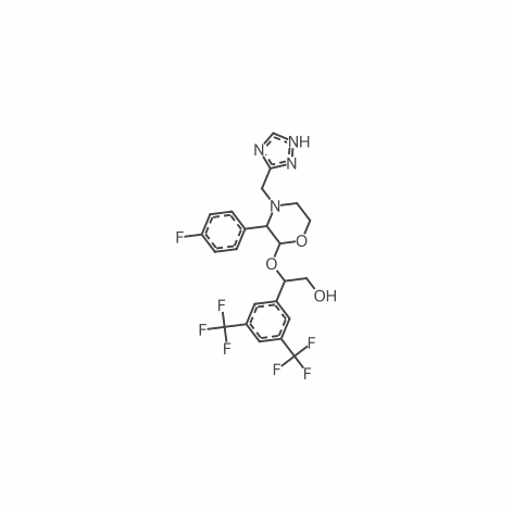 OCC(OC1OCCN(Cc2nc[nH]n2)C1c1ccc(F)cc1)c1cc(C(F)(F)F)cc(C(F)(F)F)c1